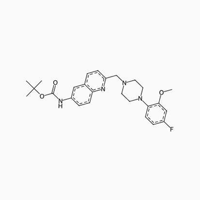 COc1cc(F)ccc1N1CCN(Cc2ccc3cc(NC(=O)OC(C)(C)C)ccc3n2)CC1